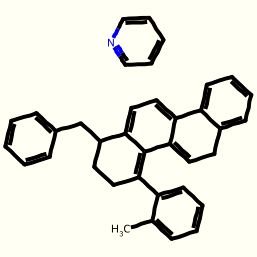 Cc1ccccc1C1=c2c(ccc3c2=CCc2ccccc2-3)C(Cc2ccccc2)CC1.c1ccncc1